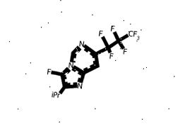 CC(C)c1nc2cc(C(F)(F)C(F)(F)C(F)(F)F)ncn2c1F